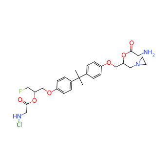 CC(C)(c1ccc(OCC(CF)OC(=O)CNCl)cc1)c1ccc(OCC(CN2CC2)OC(=O)CN)cc1